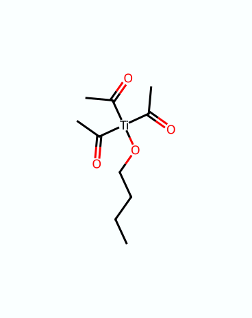 CCCC[O][Ti]([C](C)=O)([C](C)=O)[C](C)=O